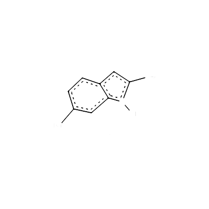 CCCCc1cc2ccc(C(C)(C)C)cc2[s+]1C(F)(F)F.[Cl-]